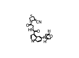 N#C[C@@H]1CSCN1C(=O)CNC(=O)c1ccnc2ccc(N3C[C@H]4C[C@@H]3CO4)cc12